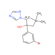 C[Si](C)(C)CC(O)(Cn1cncn1)c1cccc(Br)c1